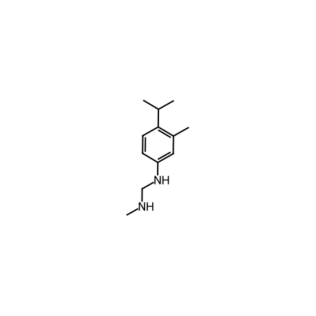 CNCNc1ccc(C(C)C)c(C)c1